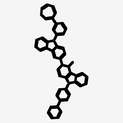 CC1c2c(n(-c3ccc(-c4ccccc4)cc3)c3ccccc23)C=CC1c1ccc2c(c1)c1ccccc1n2-c1cccc(C2=CCC=CC=C2)c1